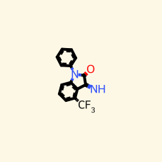 N=C1C(=O)N(c2ccccc2)c2cccc(C(F)(F)F)c21